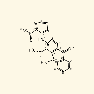 COc1c(Nc2ccccc2[N+](=O)[O-])ccc(C(=O)c2ccccc2)c1OC